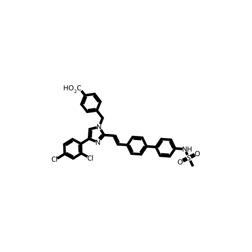 CS(=O)(=O)Nc1ccc(-c2ccc(C=Cc3nc(-c4ccc(Cl)cc4Cl)cn3Cc3ccc(C(=O)O)cc3)cc2)cc1